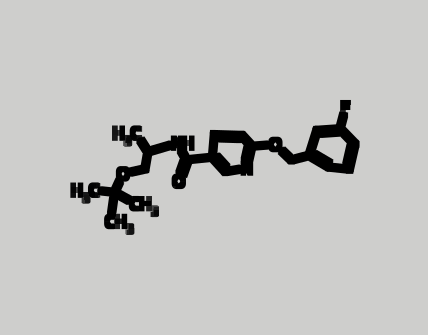 CC(COC(C)(C)C)NC(=O)c1ccc(OCc2cccc(F)c2)nc1